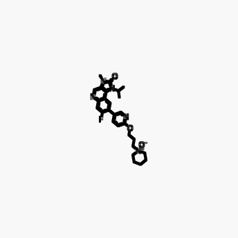 CC(C)n1c(=O)n(C)c2cnc3cc(F)c(-c4ccc(OCCC[N+]5([O-])CCCCC5)nc4)cc3c21